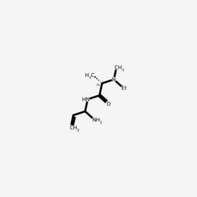 C=CC(N)NC(=O)[C@H](C)N(C)CC